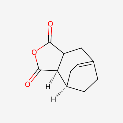 O=C1OC(=O)[C@H]2C1CC1=CC[C@H]2CC1